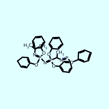 CC(C)N=P(N=P(Oc1ccccc1)(Oc1ccccc1)C(C)/N=P/Oc1ccccc1)(OC1=CCCC=C1)Oc1ccccc1